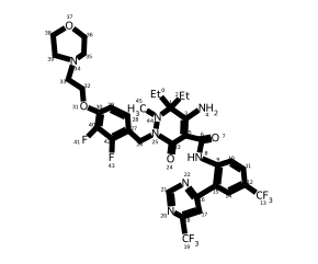 CCC1(CC)C(N)=C(C(=O)Nc2ccc(C(F)(F)F)cc2-c2cc(C(F)(F)F)ncn2)C(=O)N(Cc2ccc(OCCN3CCOCC3)c(F)c2F)N1C